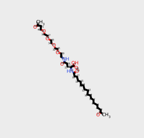 CC(=O)CCCCCCCCCCCCCCCCC(=O)N[C@@H](CCC(=O)NCCOCCOCCOCCOCCC(C)=O)C(=O)O